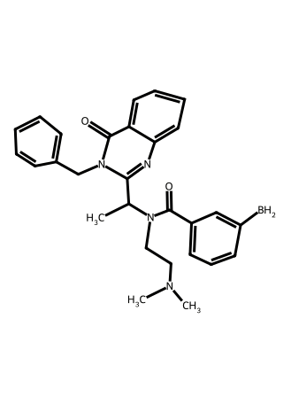 Bc1cccc(C(=O)N(CCN(C)C)C(C)c2nc3ccccc3c(=O)n2Cc2ccccc2)c1